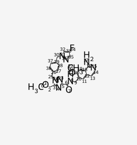 COCc1nc(C(=O)NCc2cc3ccnc(N)c3cc2OC)nn1Cc1ccc(Cn2cc(F)cn2)cc1